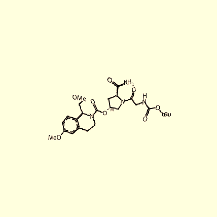 COCC1c2ccc(OC)cc2CCN1C(=O)O[C@@H]1CC(C(N)=O)N(C(=O)CNC(=O)OC(C)(C)C)C1